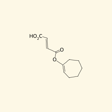 O=C(O)C=CC(=O)OC1=CCCCCC1